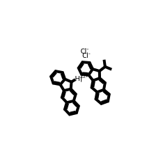 CC(C)C1c2ccccc2-c2cc3ccccc3cc21.[Cl-].[Cl-].[Hf+2][CH]1c2ccccc2-c2cc3ccccc3cc21